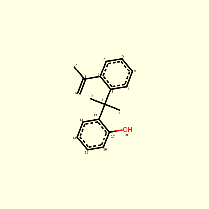 C=C(C)c1ccccc1C(C)(C)c1ccccc1O